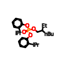 CCCCC(CC)COP(=O)(Oc1ccccc1C(C)C)Oc1ccccc1C(C)C